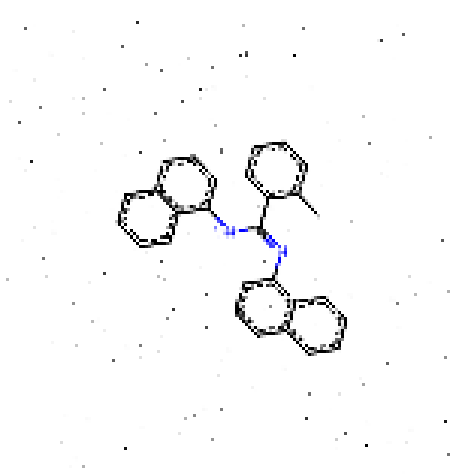 Cc1ccccc1C(=Nc1cccc2ccccc12)Nc1cccc2ccccc12